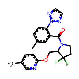 Cc1ccc(-n2nccn2)c(C(=O)N2CCC(F)(F)C2COc2ccc(C(F)(F)F)cn2)c1